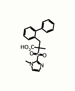 Cn1ccnc1S(=O)(=O)C(C)(Cc1ccccc1-c1ccccc1)C(=O)O